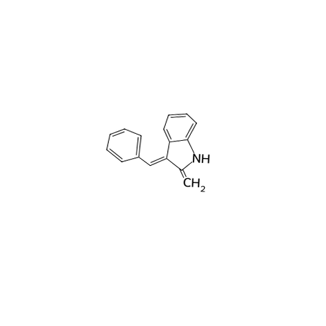 C=c1[nH]c2ccccc2/c1=C\c1ccccc1